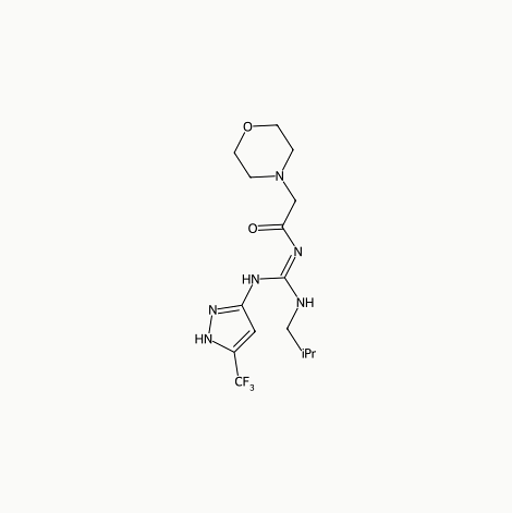 CC(C)CN/C(=N/C(=O)CN1CCOCC1)Nc1cc(C(F)(F)F)[nH]n1